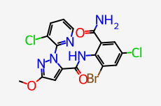 COc1cc(C(=O)Nc2c(Br)cc(Cl)cc2C(N)=O)n(-c2ncccc2Cl)n1